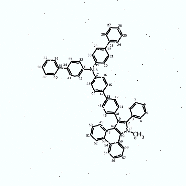 Cn1c(-c2ccccc2)c(-c2ccc(-c3ccc(N(c4ccc(-c5ccccc5)cc4)c4ccc(-c5ccccc5)cc4)cc3)cc2)c2c3ccccc3c3ccccc3c21